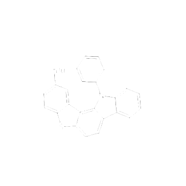 CC(C)(C)c1ccc2sc3ccc4c5ccccc5n(-c5ccccc5)c4c3c2c1